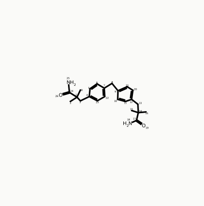 CC(C)(Cc1ccc(Cc2ccc(CC(C)(C)C(N)=O)cc2)cc1)C(N)=O